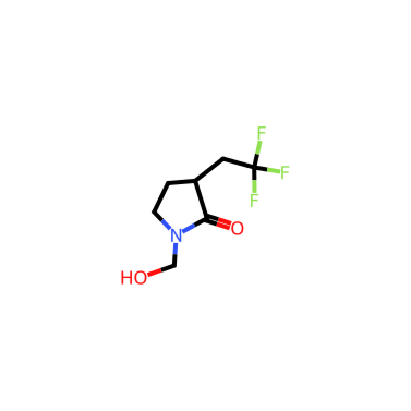 O=C1C(CC(F)(F)F)CCN1CO